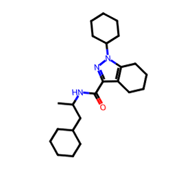 CC(CC1CCCCC1)NC(=O)c1nn(C2CCCCC2)c2c1CCCC2